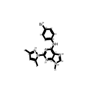 Cc1cc(C)n(-c2nc(Nc3ccc(Br)cc3)c3ncn(C)c3n2)n1